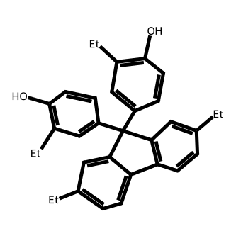 CCc1ccc2c(c1)C(c1ccc(O)c(CC)c1)(c1ccc(O)c(CC)c1)c1cc(CC)ccc1-2